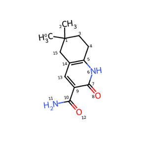 CC1(C)CCc2[nH]c(=O)c(C(N)=O)cc2C1